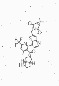 Cc1cc(C(F)(F)F)nc(-c2ccnc3cc(CN4C(=O)C5C(C4=O)C5(C)C)sc23)c1C(=O)N1C[C@@H]2CCN[C@@H]2C1